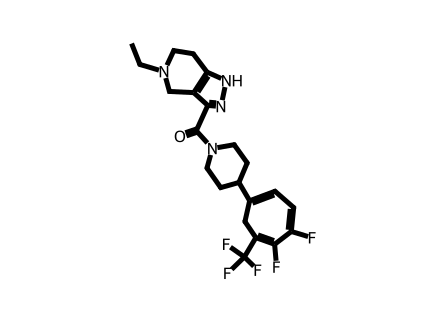 CCN1CCc2[nH]nc(C(=O)N3CCC(C4=CC=C(F)C(F)=C(C(F)(F)F)C4)CC3)c2C1